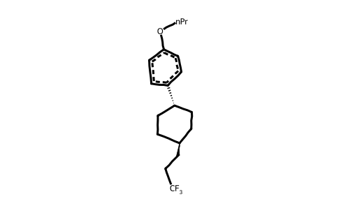 CCCOc1ccc([C@H]2CC[C@H](CCC(F)(F)F)CC2)cc1